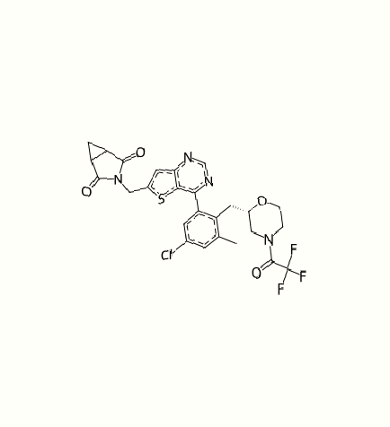 Cc1cc(Cl)cc(-c2ncnc3cc(CN4C(=O)C5CC5C4=O)sc23)c1C[C@H]1CN(C(=O)C(F)(F)F)CCO1